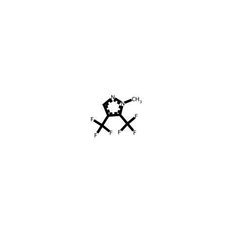 Cn1n[c]c(C(F)(F)F)c1C(F)(F)F